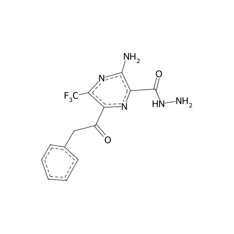 NNC(=O)c1nc(C(=O)Cc2ccccc2)c(C(F)(F)F)nc1N